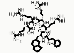 N=C(N)NCCC[C@H](NC(=O)[C@H](CCCNC(=N)N)NC(=O)[C@H](CCCNC(=N)N)NC(=O)[C@H](CCCNC(=N)N)NC(=O)[C@H](Cc1ccc2ccccc2c1)NC(=O)[C@@H](N)Cc1ccccc1)C(=O)O